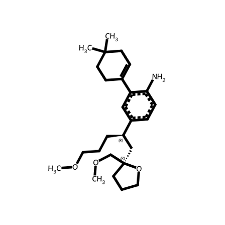 COCCC[C@H](C[C@@]1(COC)CCCO1)c1ccc(N)c(C2=CCC(C)(C)CC2)c1